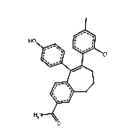 Cc1ccc(C2=C(c3ccc(O)cc3)c3ccc(C(N)=O)cc3CCC2)c(Cl)c1